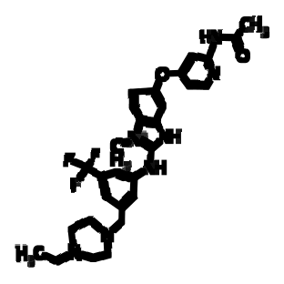 CCN1CCN(Cc2cc(Nc3[nH]c4cc(Oc5ccnc(NC(C)=O)c5)ccc4[n+]3C)cc(C(F)(F)F)c2)CC1